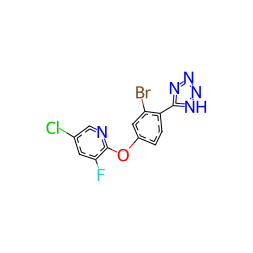 Fc1cc(Cl)cnc1Oc1ccc(-c2nnn[nH]2)c(Br)c1